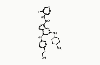 N[C@H]1CC[C@H](Nc2cc(Nc3ccc(CCO)cc3)c3ncc(C(=O)Nc4ccncc4F)n3n2)CC1